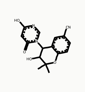 CC1(C)Oc2ccc(C#N)cc2C(n2cnc(O)cc2=O)C1O